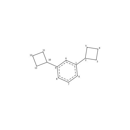 [c]1c(C2CCC2)cccc1C1CCC1